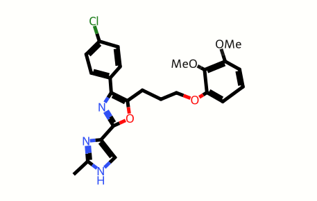 COc1cccc(OCCCc2oc(-c3c[nH]c(C)n3)nc2-c2ccc(Cl)cc2)c1OC